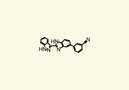 N#Cc1cccc(-c2ccc3[nH]c(-c4n[nH]c5ccccc45)nc3c2)c1